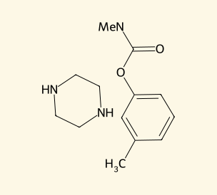 C1CNCCN1.CNC(=O)Oc1cccc(C)c1